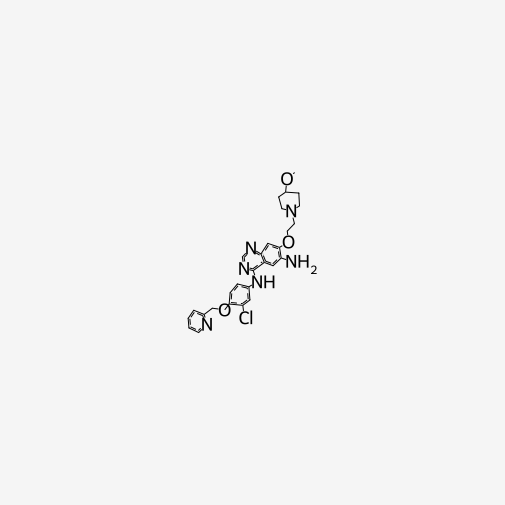 COC1CCN(CCOc2cc3ncnc(Nc4ccc(OCc5ccccn5)c(Cl)c4)c3cc2N)CC1